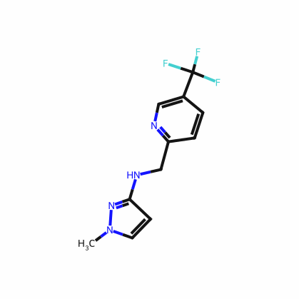 Cn1ccc(NCc2ccc(C(F)(F)F)cn2)n1